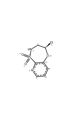 CC[C@@H]1CNS(=O)(=O)c2ncccc2O1